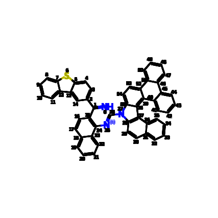 N=C(c1ccc2sc3ccccc3c2c1)c1ccc2ccccc2c1/N=C/n1c2ccc3ccccc3c2c2c3c4ccccc4c4ccccc4c3ccc21